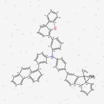 CC1(C)c2cc(-c3ccc(N(c4cccc(-c5cccc6c5ccc5ccccc56)c4)c4cccc(-c5cccc6c5oc5ccccc56)c4)cc3)ccc2C2C=CC=CC21C